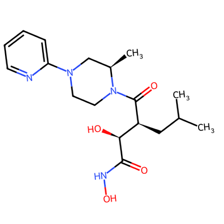 CC(C)C[C@H](C(=O)N1CCN(c2ccccn2)C[C@H]1C)[C@H](O)C(=O)NO